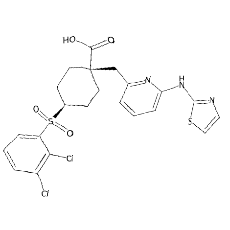 O=C(O)[C@]1(Cc2cccc(Nc3nccs3)n2)CC[C@@H](S(=O)(=O)c2cccc(Cl)c2Cl)CC1